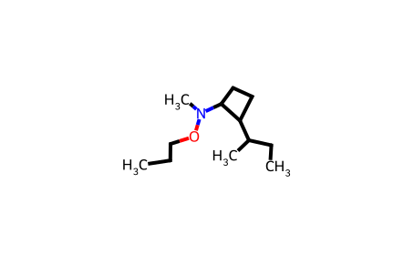 CCCON(C)C1CCC1C(C)CC